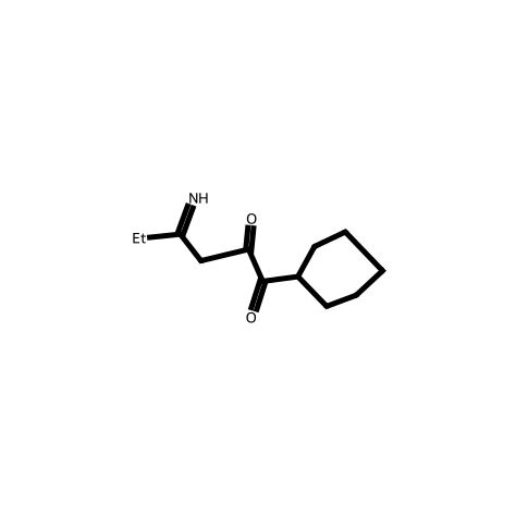 CCC(=N)CC(=O)C(=O)C1CCCCC1